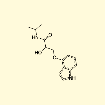 CC(C)NC(=O)C(O)COc1cccc2[nH]ccc12